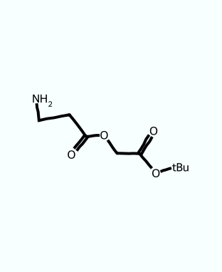 CC(C)(C)OC(=O)COC(=O)CCN